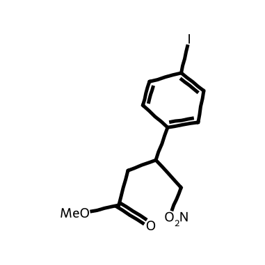 COC(=O)CC(C[N+](=O)[O-])c1ccc(I)cc1